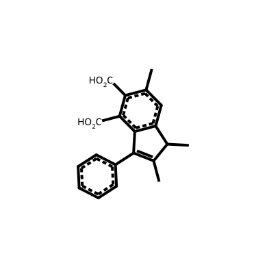 CC1=C(c2ccccc2)c2c(cc(C)c(C(=O)O)c2C(=O)O)C1C